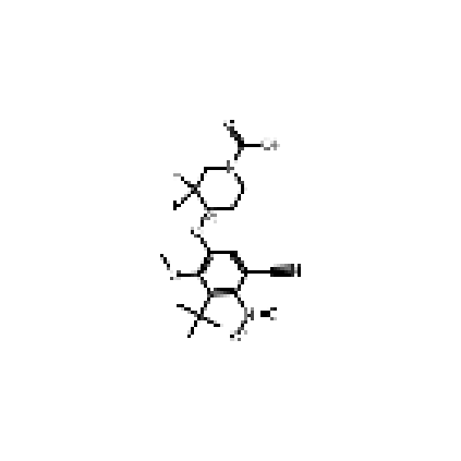 COc1c(O[C@@H]2CCN(C(=O)O)CC2(F)F)cc(C#N)c([N+](=O)[O-])c1C(C)(C)C